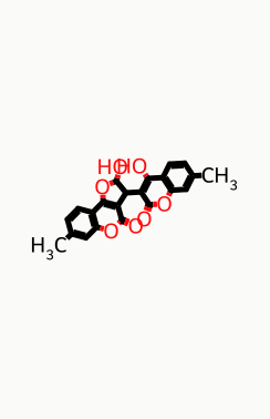 Cc1ccc2c(O)c(C3c4c(c5ccc(C)cc5oc4=O)OC3O)c(=O)oc2c1